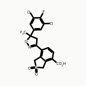 O=C(O)c1ccc(C2=NOC(c3cc(Cl)c(F)c(Cl)c3)(C(F)(F)F)C2)c2c1CS(=O)(=O)C2